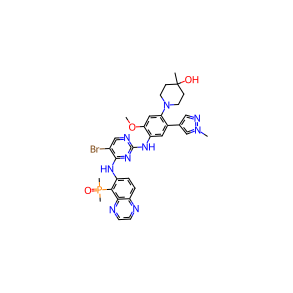 COc1cc(N2CCC(C)(O)CC2)c(-c2cnn(C)c2)cc1Nc1ncc(Br)c(Nc2ccc3nccnc3c2P(C)(C)=O)n1